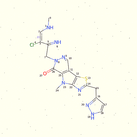 CN/C=C(/Cl)C(=N)Cn1ncc2c3sc(Cc4cc[nH]n4)nc3n(C)c2c1=O